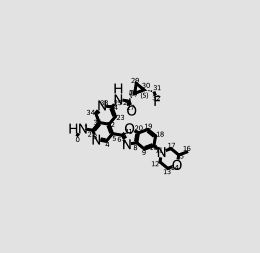 CNc1ncc(-c2nc3cc(N4CCOC(C)C4)ccc3o2)c2cc(NC(=O)[C@@H]3C[C@@H]3CF)ncc12